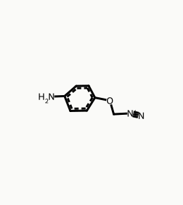 N#[N+]COc1ccc(N)cc1